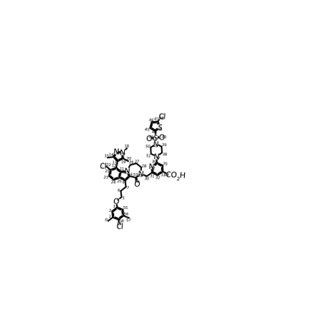 Cc1cc(OCCCc2c3n(c4c(-c5c(C)nn(C)c5C)c(Cl)ccc24)CCCN(Cc2cc(C(=O)O)cc(N4CCN(S(=O)(=O)c5ccc(Cl)s5)CC4)n2)C3=O)cc(C)c1Cl